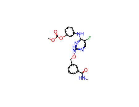 CNC(=O)c1cccc(CONc2ncc(F)c(Nc3cccc(OC(=O)OC)c3)n2)c1